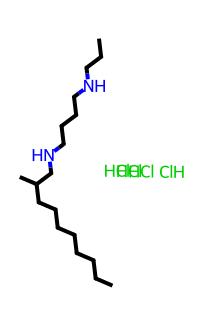 CCCCCCCCC(C)CNCCCCNCCC.Cl.Cl.Cl.Cl